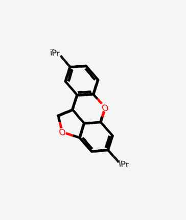 CC(C)C1=CC2Oc3ccc(C(C)C)cc3C3COC(=C1)C23